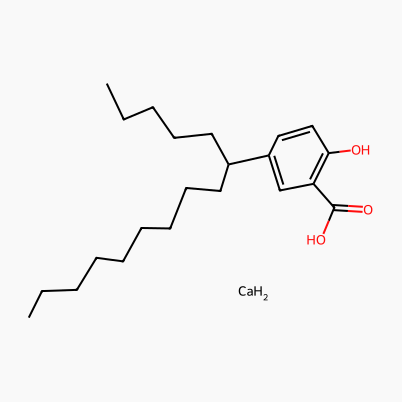 CCCCCCCCCC(CCCCC)c1ccc(O)c(C(=O)O)c1.[CaH2]